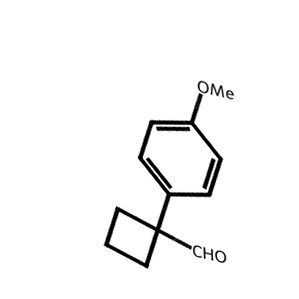 COc1ccc(C2(C=O)CCC2)cc1